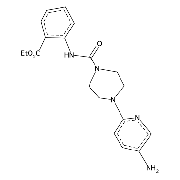 CCOC(=O)c1ccccc1NC(=O)N1CCN(c2ccc(N)cn2)CC1